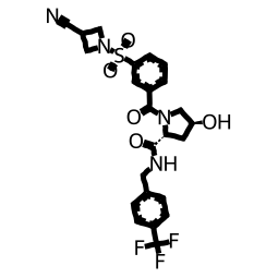 N#CC1CN(S(=O)(=O)c2cccc(C(=O)N3C[C@@H](O)C[C@@H]3C(=O)NCc3ccc(C(F)(F)F)cc3)c2)C1